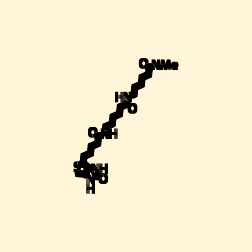 CNC(=O)CCCCCNC(=O)CCCCCNC(=O)CCCCC1SCC2NC(=O)NC21